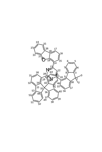 CC1(C)c2ccccc2-c2c(-c3cc(-c4cccc5c4oc4ccccc45)nc(-c4cccc5c4C(c4ccccc4)(c4ccccc4)c4ccccc4-5)n3)cccc21